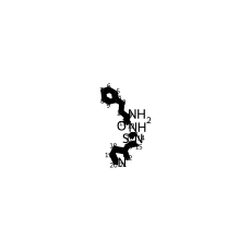 N[C@H](CCc1ccccc1)C(=O)Nc1ncc(-c2cccnc2)s1